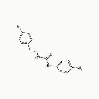 Nc1ccc(NC(=S)NCCc2ccc(Br)cc2)cc1